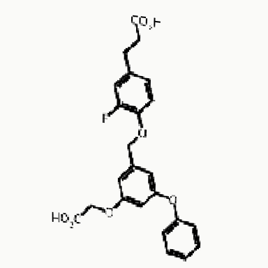 O=C(O)CCc1ccc(OCc2cc(OCC(=O)O)cc(Oc3ccccc3)c2)c(F)c1